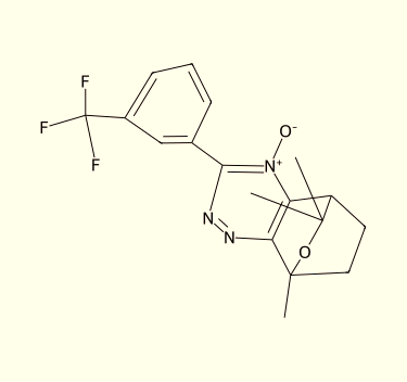 CC12CCC(c3c1nnc(-c1cccc(C(F)(F)F)c1)[n+]3[O-])C(C)(C)O2